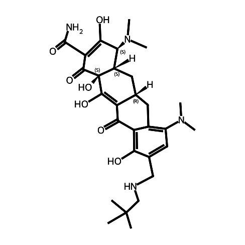 CN(C)c1cc(CNCC(C)(C)C)c(O)c2c1C[C@H]1C[C@H]3[C@H](N(C)C)C(O)=C(C(N)=O)C(=O)[C@@]3(O)C(O)=C1C2=O